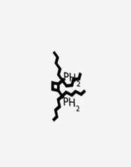 CCCCCC(P)(CCCCC)C1CCC1C(P)(CCCCC)CCCCC